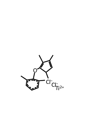 CC1=CC(C)C(Oc2c(C)cccc2C)=C1C.[Cl-].[Cl-].[Ti+2]